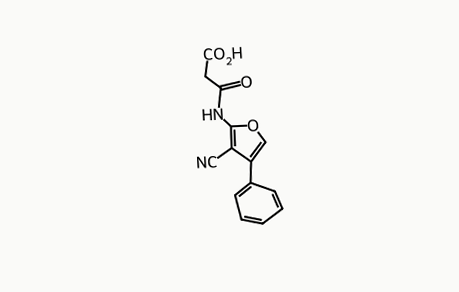 N#Cc1c(-c2ccccc2)coc1NC(=O)CC(=O)O